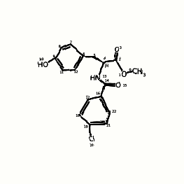 COC(=O)[C@H](Cc1ccc(O)cc1)NC(=O)c1ccc(Cl)cc1